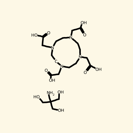 NC(CO)(CO)CO.O=C(O)CN1CCN(CC(=O)O)CCN(CC(=O)O)CCN(CC(=O)O)CC1